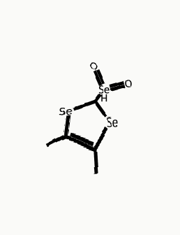 CC1=C(C)[Se]C([SeH](=O)=O)[Se]1